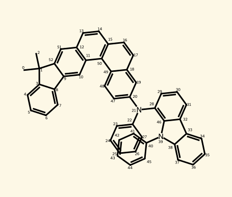 CC1(C)c2ccccc2-c2cc3c(ccc4ccc5cc(N(c6ccccc6)c6cccc7c8ccccc8n(-c8ccccc8)c67)ccc5c43)cc21